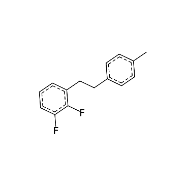 Cc1ccc(CCc2cccc(F)c2F)cc1